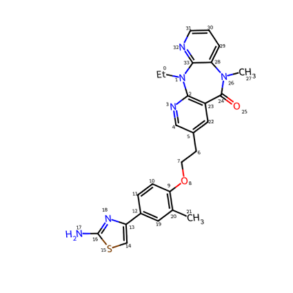 CCN1c2ncc(CCOc3ccc(-c4csc(N)n4)cc3C)cc2C(=O)N(C)c2cccnc21